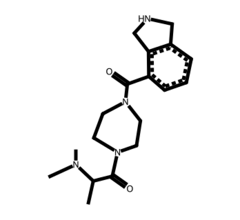 CC(C(=O)N1CCN(C(=O)c2cccc3c2CNC3)CC1)N(C)C